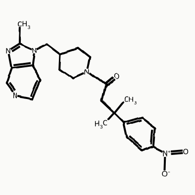 Cc1nc2cnccc2n1CC1CCN(C(=O)CC(C)(C)c2ccc([N+](=O)[O-])cc2)CC1